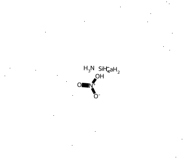 N.O=[N+]([O-])O.[CaH2].[SiH4]